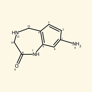 Nc1ccc2c(c1)NC(=O)CNC2